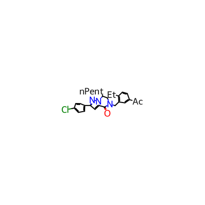 CCCCCC1CN(Cc2cc(C(C)=O)ccc2CC)C(=O)c2cc(-c3ccc(Cl)cc3)nn21